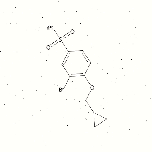 CC(C)S(=O)(=O)c1ccc(OCC2CC2)c(Br)c1